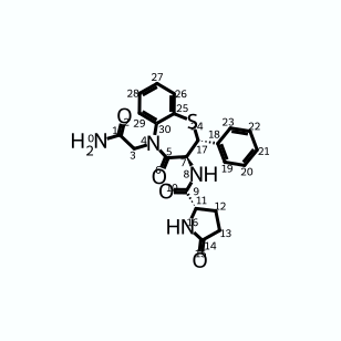 NC(=O)CN1C(=O)[C@H](NC(=O)[C@@H]2CCC(=O)N2)[C@@H](c2ccccc2)Sc2ccccc21